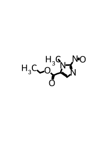 CCOC(=O)c1cnc(N=O)n1C